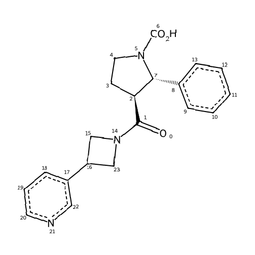 O=C([C@H]1CCN(C(=O)O)[C@@H]1c1ccccc1)N1CC(c2cccnc2)C1